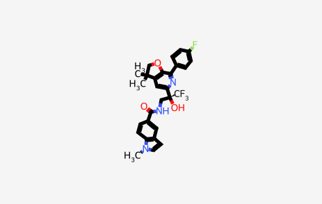 Cn1ccc2cc(C(=O)NC[C@](O)(c3cc4c(c(-c5ccc(F)cc5)n3)OCC4(C)C)C(F)(F)F)ccc21